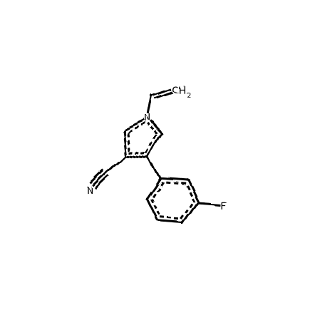 C=Cn1cc(C#N)c(-c2cccc(F)c2)c1